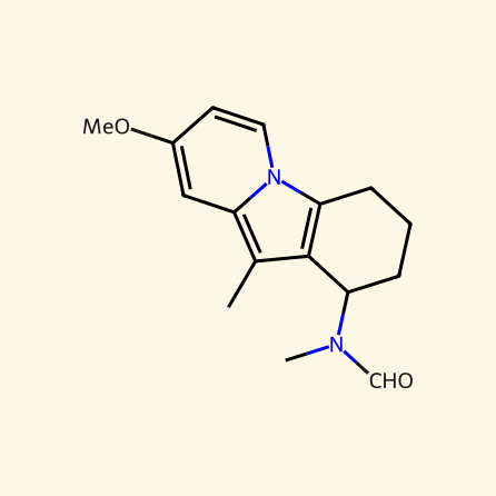 COc1ccn2c3c(c(C)c2c1)C(N(C)C=O)CCC3